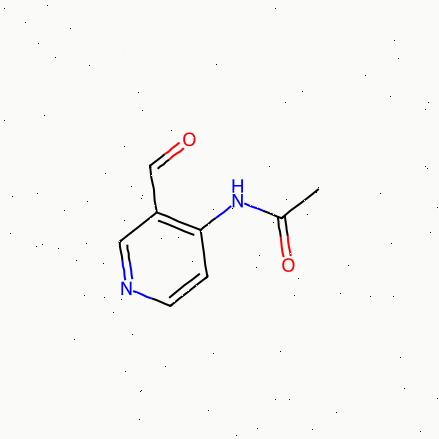 CC(=O)Nc1ccncc1C=O